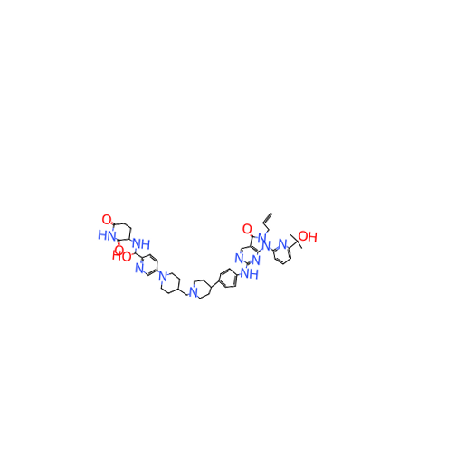 C=CCn1c(=O)c2cnc(Nc3ccc(C4CCN(CC5CCN(c6ccc(C(O)NC7CCC(=O)NC7=O)nc6)CC5)CC4)cc3)nc2n1-c1cccc(C(C)(C)O)n1